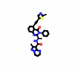 Cc1ncc(C#Cc2cccc3nc(C(C)NC(=O)c4c(C)nn5cccnc45)n(-c4ccccc4)c(=O)c23)s1